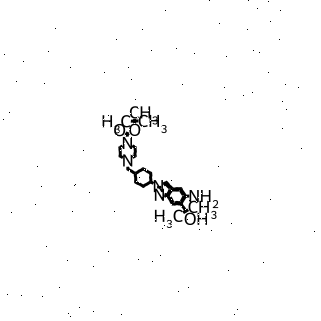 CC(C)(C)OC(=O)N1CCN(CC2CCC(n3cc4cc(N)c(C(C)(C)O)cc4n3)CC2)CC1